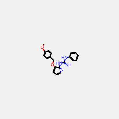 COc1ccc(COc2cccnc2NC(=N)Nc2ccccc2)cc1